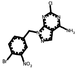 Nc1nc(Cl)nc2c1cnn2Cc1ccc(Br)c([N+](=O)[O-])c1